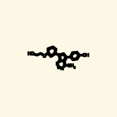 Nc1ncnc2c1c(-c1ccc(O)cc1)cn2-c1cccc(OCCO)c1